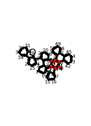 c1ccc(-c2c(-c3cccc4c3oc3ccccc34)cccc2-c2cccc3c2oc2ccccc23)c(-c2cnc3c4ccccc4c4ccccc4c3n2)c1